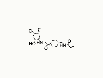 C=CC(=O)NCC1CCN(C(=O)CNc2cc(Cl)c(Cl)cc2O)CC1